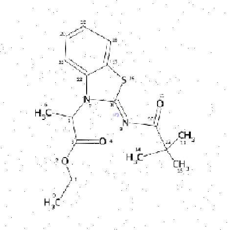 CCOC(=O)C(C)n1/c(=N/C(=O)C(C)(C)C)sc2ccccc21